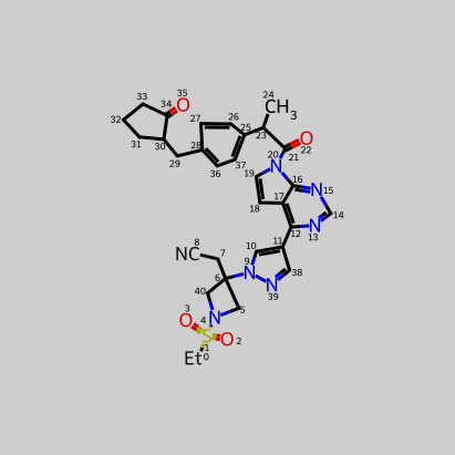 CCS(=O)(=O)N1CC(CC#N)(n2cc(-c3ncnc4c3ccn4C(=O)C(C)c3ccc(CC4CCCC4=O)cc3)cn2)C1